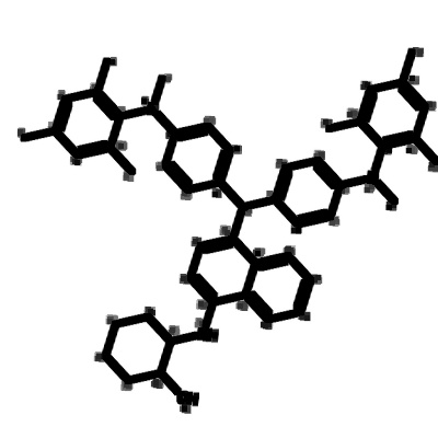 Cc1cc(C)c(N(C)c2ccc(C(c3ccc(N(C)c4c(C)cc(C)cc4C)cc3)c3ccc(NC4CCCCC4O)c4ccccc34)cc2)c(C)c1